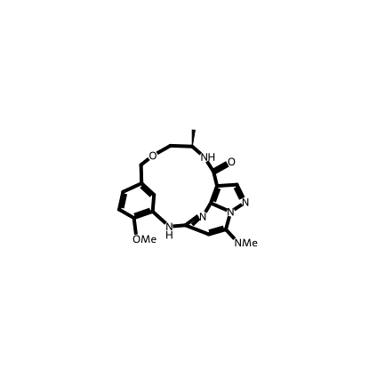 CNc1cc2nc3c(cnn13)C(=O)N[C@H](C)COCc1ccc(OC)c(c1)N2